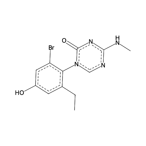 CCc1cc(O)cc(Br)c1-n1cnc(NC)nc1=O